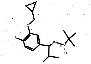 CC(C)C(N[S@@+]([O-])C(C)(C)C)c1ccc(F)c(OCC2CC2)c1